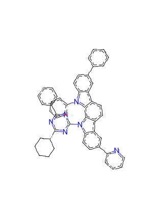 c1ccc(-c2ccc3c(c2)c2ccc4c5cc(-c6ccccn6)ccc5n(-c5nc(-c6ccccc6)nc(C6CCCCC6)n5)c4c2n3-c2ccccc2)cc1